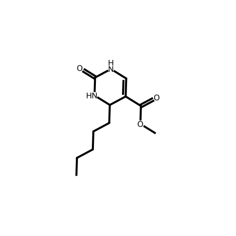 CCCCCC1NC(=O)NC=C1C(=O)OC